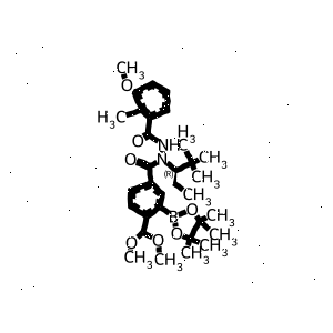 CC[C@@H](N(NC(=O)c1cccc(OC)c1C)C(=O)c1ccc(C(OC)OC)c(B2OC(C)(C)C(C)(C)O2)c1)C(C)(C)C